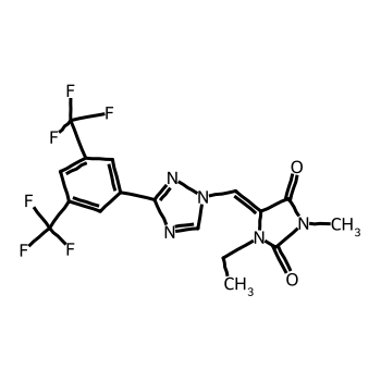 CCN1C(=O)N(C)C(=O)C1=Cn1cnc(-c2cc(C(F)(F)F)cc(C(F)(F)F)c2)n1